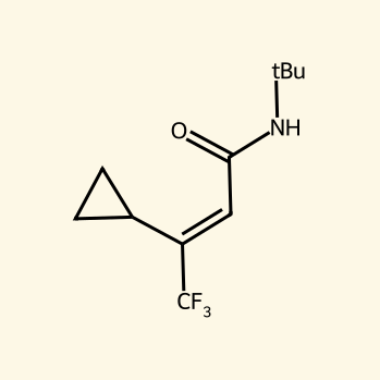 CC(C)(C)NC(=O)/C=C(\C1CC1)C(F)(F)F